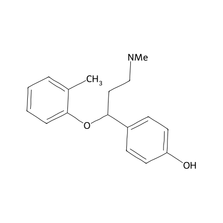 CNCCC(Oc1ccccc1C)c1ccc(O)cc1